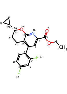 CCOC(=O)c1cc(-c2ccc(F)cc2F)c2c(n1)O[C@@H](C1CC1)CC2